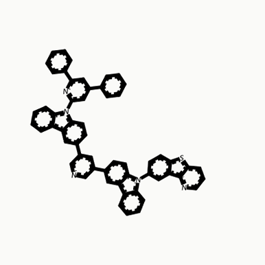 c1ccc(-c2cc(-c3ccccc3)nc(-n3c4ccccc4c4cc(-c5cncc(-c6ccc7c(c6)c6ccccc6n7-c6ccc7sc8cccnc8c7c6)c5)ccc43)c2)cc1